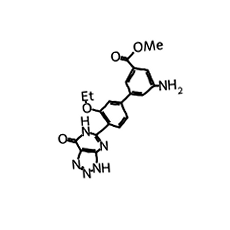 CCOc1cc(-c2cc(N)cc(C(=O)OC)c2)ccc1-c1nc2[nH]nnc2c(=O)[nH]1